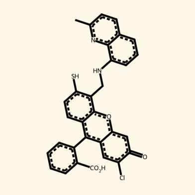 Cc1ccc2cccc(NCc3c(S)ccc4c(-c5ccccc5C(=O)O)c5cc(Cl)c(=O)cc-5oc34)c2n1